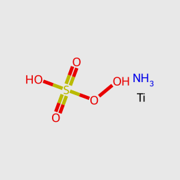 N.O=S(=O)(O)OO.[Ti]